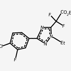 CCOC(=O)C(F)(F)c1nc(-c2ccc(Cl)c(F)c2)nn1CC